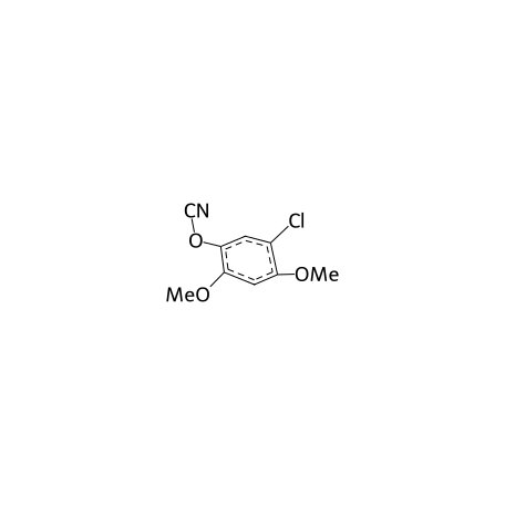 COc1cc(OC)c(OC#N)cc1Cl